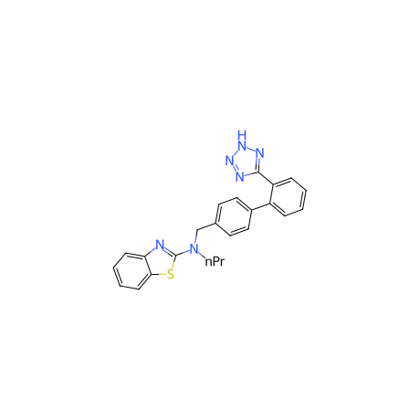 CCCN(Cc1ccc(-c2ccccc2-c2nn[nH]n2)cc1)c1nc2ccccc2s1